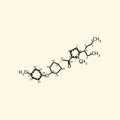 CCC[C@@H](CC)c1ccc(C(=O)C[C@H]2CC[C@H](Oc3ccc(C)cc3)CC2)n1C